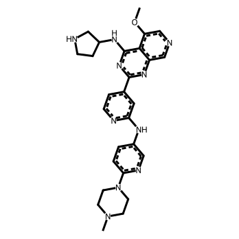 COc1cncc2nc(-c3ccnc(Nc4ccc(N5CCN(C)CC5)nc4)c3)nc(NC3CCNC3)c12